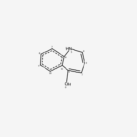 OC1=CC=CNc2ccccc21